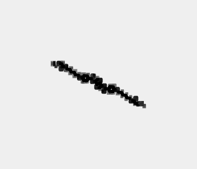 C=CC(=O)OCCCCCCOc1ccc(C(=O)OC2COC3C2OC[C@@H]3OC(=O)c2ccc(OCCCCCCOC(=O)C=C)cc2)cc1